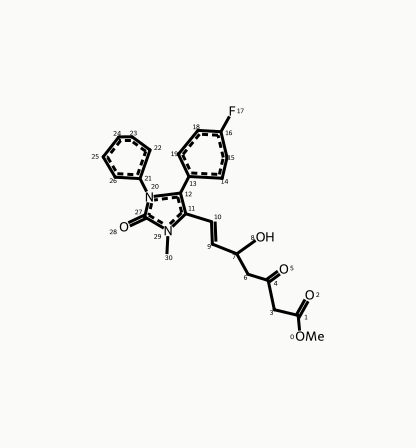 COC(=O)CC(=O)CC(O)/C=C/c1c(-c2ccc(F)cc2)n(-c2ccccc2)c(=O)n1C